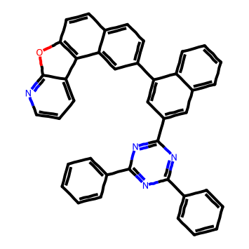 c1ccc(-c2nc(-c3ccccc3)nc(-c3cc(-c4ccc5ccc6oc7ncccc7c6c5c4)c4ccccc4c3)n2)cc1